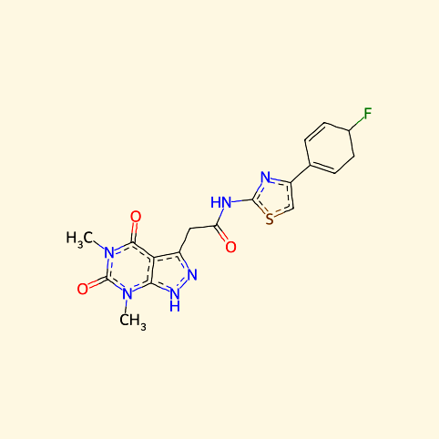 Cn1c(=O)c2c(CC(=O)Nc3nc(C4=CCC(F)C=C4)cs3)n[nH]c2n(C)c1=O